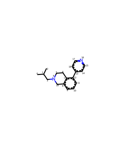 C[C](C)CN1CCc2c(cccc2-c2ccncc2)C1